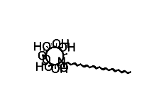 CCC=CCC=CCC=CCC=CCC=CCC=CCCC(=O)N1C[C@H](C)C[C@@](C)(O)[C@H](O)[C@@H](C)[C@H](O)[C@@H](C)C(=O)O[C@H](CC)[C@@](C)(O)[C@H](O)[C@H]1C